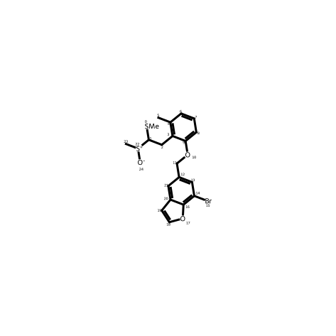 CSC(Cc1c(C)cccc1OCc1cc(Br)c2occc2c1)[S+](C)[O-]